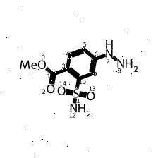 COC(=O)c1ccc(NN)cc1S(N)(=O)=O